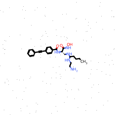 CCCCC(NCCN)NC[C@H](NC(=O)c1ccc(C#Cc2ccccc2)cc1)C(=O)NO